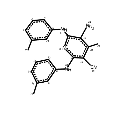 Cc1cccc(Nc2nc(Nc3cccc(C)c3)c(C#N)c(C)c2N)c1